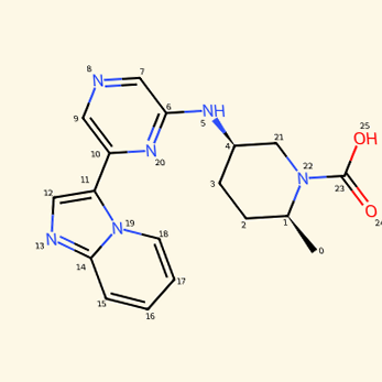 C[C@H]1CC[C@@H](Nc2cncc(-c3cnc4ccccn34)n2)CN1C(=O)O